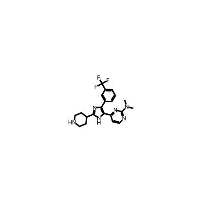 CN(C)c1nccc(-c2[nH]c(C3CCNCC3)nc2-c2cccc(C(F)(F)F)c2)n1